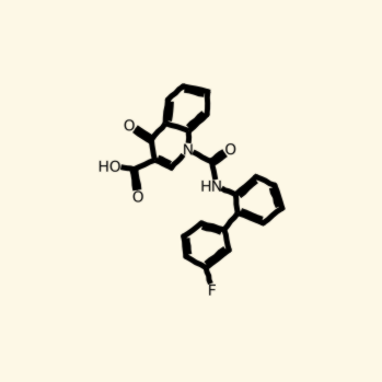 O=C(O)c1cn(C(=O)Nc2ccccc2-c2cccc(F)c2)c2ccccc2c1=O